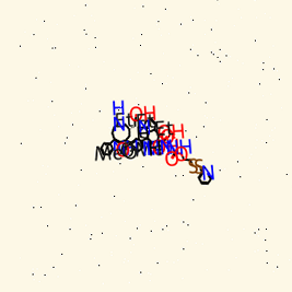 CCC(O)(CC)C[C@H]1CNCCc2c([nH]c3ccccc23)[C@@](C(=O)OC)(c2cc3c(cc2OC)N(C)[C@H]2[C@@](O)(C(=O)NNC(=O)OCCSSc4ccccn4)[C@H](O)[C@]4(CC)C=CCN5CC[C@]32[C@@H]54)C1